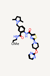 COCCNC(=O)c1cc(CN2C(C)CCC2C)ccc1NC(=O)c1csc(N2CCC(Oc3ncccn3)CC2)n1